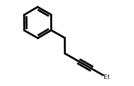 [CH2]CC#CCCc1ccccc1